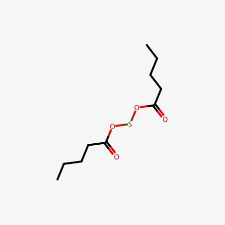 CCCCC(=O)OSOC(=O)CCCC